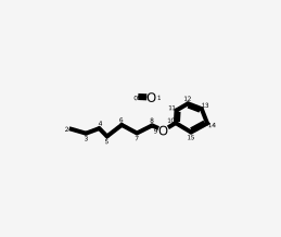 C=O.CCCCCCCOc1ccccc1